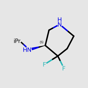 CC(C)N[C@H]1CNCCC1(F)F